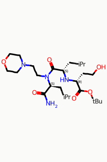 CC(C)C[C@H](N[C@H](CCO)C(=O)OC(C)(C)C)C(=O)N(CCN1CCOCC1)[C@@H](CC(C)C)C(N)=O